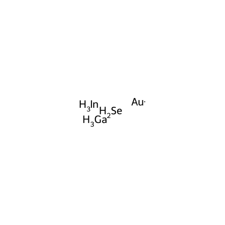 [Au].[GaH3].[InH3].[SeH2]